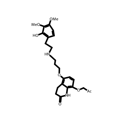 COc1ccc(CCNCCCOc2ccc(OCC(C)=O)c3c2CCC(=O)N3)c(O)c1OC